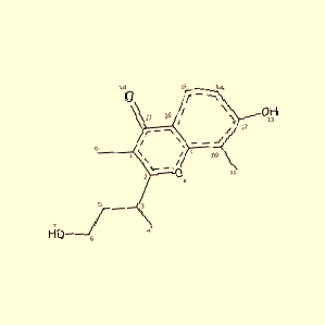 Cc1c(C(C)CCO)oc2c(C)c(O)ccc2c1=O